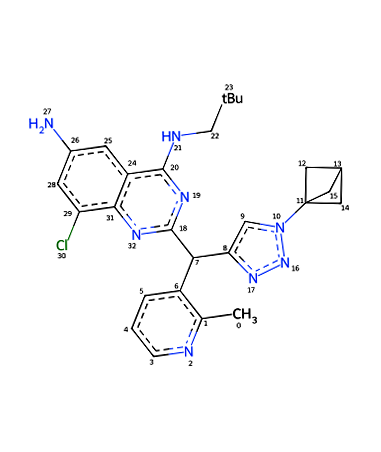 Cc1ncccc1C(c1cn(C23CC(C2)C3)nn1)c1nc(NCC(C)(C)C)c2cc(N)cc(Cl)c2n1